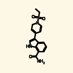 CCS(=O)(=O)N1C=CC(c2c[nH]c3c(C(N)=O)cccc23)=CC1